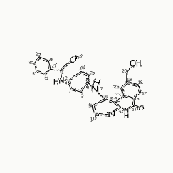 O=C(Nc1ccc(Nc2ccnc3[nH]c(=O)c4ccc(CO)cc4c23)cc1)c1ccccc1